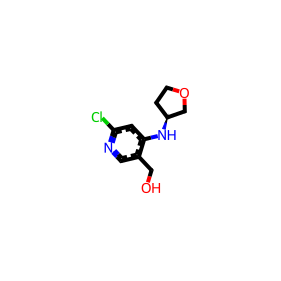 OCc1cnc(Cl)cc1N[C@H]1CCOC1